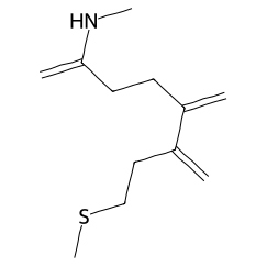 C=C(CCC(=C)C(=C)CCSC)NC